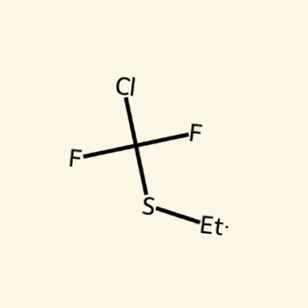 C[CH]SC(F)(F)Cl